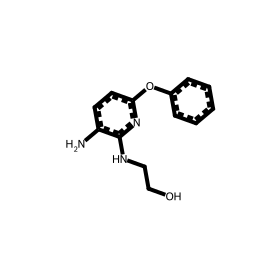 Nc1ccc(Oc2ccccc2)nc1NCCO